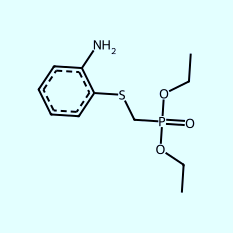 CCOP(=O)(CSc1ccccc1N)OCC